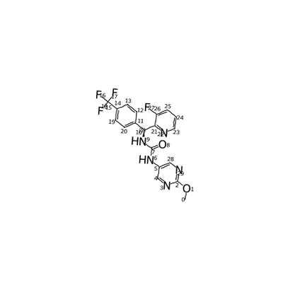 COc1ncc(NC(=O)N[C@@H](c2ccc(C(F)(F)F)cc2)c2ncccc2F)cn1